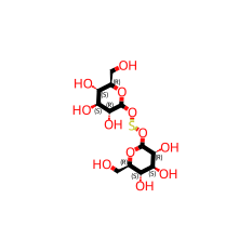 OC[C@H]1OC(OSOC2O[C@H](CO)[C@@H](O)[C@H](O)[C@H]2O)[C@H](O)[C@@H](O)[C@@H]1O